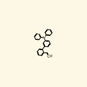 [CH]=Cc1cc[c]cc1-c1cccc(N(c2ccccc2)c2ccccc2)c1